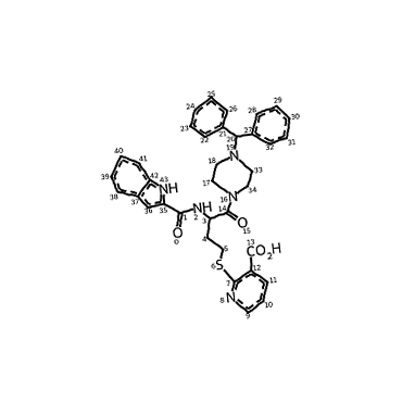 O=C(NC(CCSc1ncccc1C(=O)O)C(=O)N1CCN(C(c2ccccc2)c2ccccc2)CC1)c1cc2ccccc2[nH]1